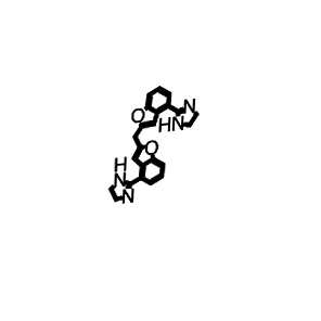 c1cc(C2=NCCN2)c2cc(Cc3cc4c(C5=NCCN5)cccc4o3)oc2c1